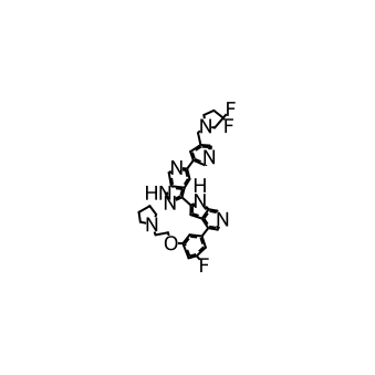 Fc1cc(OCCN2CCCC2)cc(-c2cncc3[nH]c(-c4n[nH]c5cnc(-c6cncc(CN7CCC(F)(F)C7)c6)cc45)cc23)c1